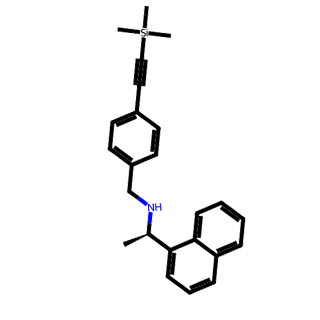 C[C@@H](NCc1ccc(C#C[Si](C)(C)C)cc1)c1cccc2ccccc12